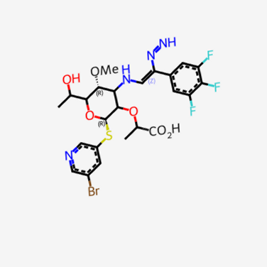 CO[C@@H]1C(N/C=C(\N=N)c2cc(F)c(F)c(F)c2)C(OC(C)C(=O)O)[C@@H](Sc2cncc(Br)c2)OC1C(C)O